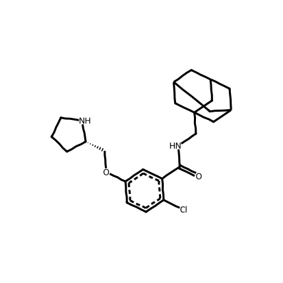 O=C(NCC12CC3CC(CC(C3)C1)C2)c1cc(OC[C@@H]2CCCN2)ccc1Cl